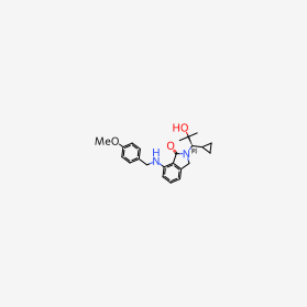 COc1ccc(CNc2cccc3c2C(=O)N([C@H](C2CC2)C(C)(C)O)C3)cc1